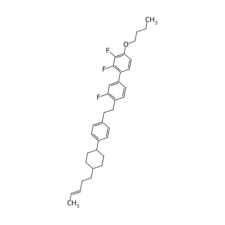 C/C=C/CCC1CCC(c2ccc(CCc3ccc(-c4ccc(OCCCC)c(F)c4F)cc3F)cc2)CC1